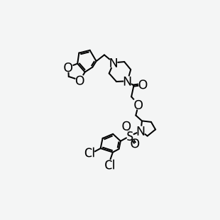 O=C(COCC1CCCN1S(=O)(=O)c1ccc(Cl)c(Cl)c1)N1CCN(Cc2ccc3c(c2)OCO3)CC1